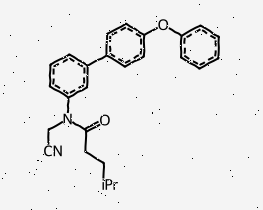 CC(C)CCC(=O)N(CC#N)c1cccc(-c2ccc(Oc3ccccc3)cc2)c1